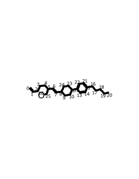 C=CC1CCC(/C=C/C2CCC(c3ccc(CCCCC)cc3)CC2)CO1